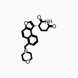 O=C1CC[C@H](c2coc3ccc4c(CN5CCOCC5)cccc4c23)C(=O)N1